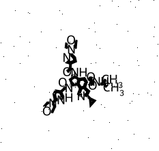 CC(C)CNS(=O)(=O)c1cc2c(c3cnc(C4CC4)cc13)[C@H](NC(=O)c1ccc(N3CCOCC3)nc1)C[C@H]2NC(=O)c1ccc(N2CCOCC2)nc1